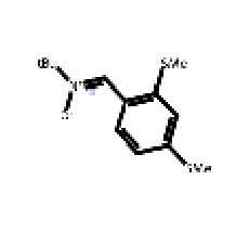 CSc1ccc(/C=[N+](\[O-])C(C)(C)C)c(SC)c1